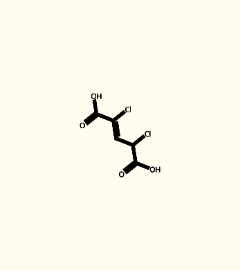 O=C(O)C(Cl)=CC(Cl)C(=O)O